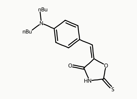 CCCCN(CCCC)c1ccc(C=C2OC(=S)NC2=O)cc1